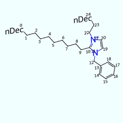 CCCCCCCCCCCCCCCCCCCc1n(Cc2ccccc2)cc[n+]1CCCCCCCCCCCC